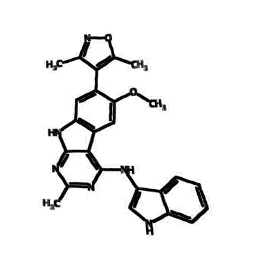 COc1cc2c(cc1-c1c(C)noc1C)[nH]c1nc(C)nc(Nc3c[nH]c4ccccc34)c12